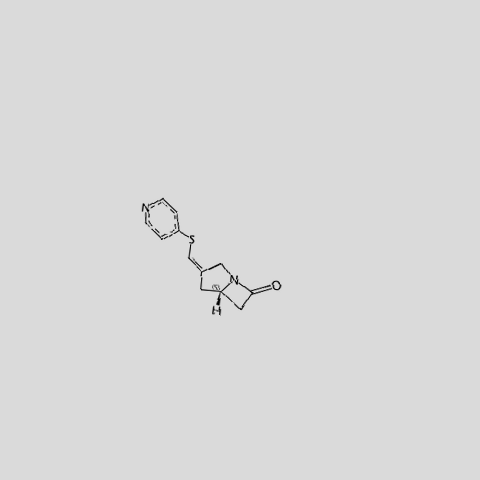 O=C1C[C@@H]2CC(=CSc3ccncc3)CN12